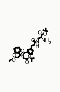 CCOC(=O)CC(c1ccccc1)N1CC(=O)N(C(C)C)c2ccc(CCC(=O)NCC(N)C(=O)OC(C)(C)C)cc2C1=O